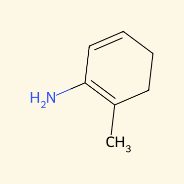 CC1=C(N)C=CCC1